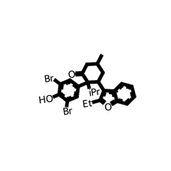 CCc1oc2ccccc2c1C1CC(C)CC(=O)C1(c1cc(Br)c(O)c(Br)c1)C(C)C